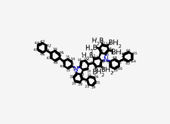 Bc1c(B)c(B)c2c(c1B)c1c(B)c(-c3ccc4c(c3)c3c(-c5ccccc5)cccc3n4-c3ccc(-c4ccc(-c5ccccc5)cc4)cc3)c(B)c(B)c1n2-c1cccc(-c2ccccc2)c1